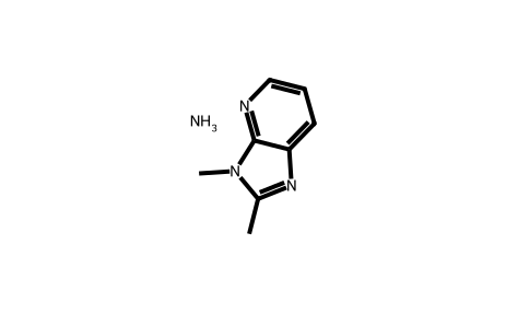 Cc1nc2cccnc2n1C.N